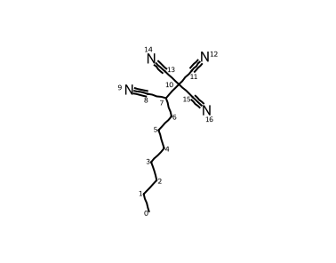 CCCCCCCC(C#N)C(C#N)(C#N)C#N